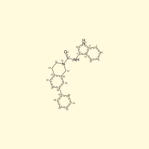 O=C(Nc1c[nH]c2ccccc12)N1CCc2ccc(-c3ccccc3)cc2C1